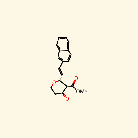 COC(=O)[C@H]1C(=O)CCO[C@@H]1/C=C/c1ccc2ccccc2c1